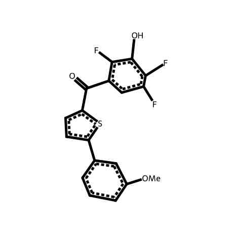 COc1cccc(-c2ccc(C(=O)c3cc(F)c(F)c(O)c3F)s2)c1